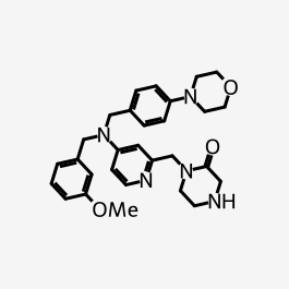 COc1cccc(CN(Cc2ccc(N3CCOCC3)cc2)c2ccnc(CN3CCNCC3=O)c2)c1